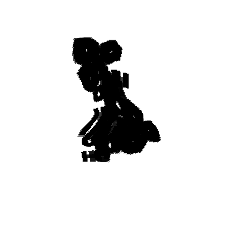 CC(=O)N[C@@H](CSC(c1ccccc1)(c1ccccc1)c1ccccc1)C(=O)NCC(=O)N[C@@H](CSC(c1ccccc1)(c1ccccc1)c1ccccc1)C(=O)NCC(=O)O